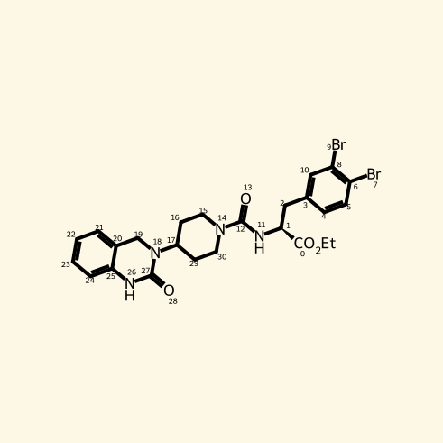 CCOC(=O)[C@H](Cc1ccc(Br)c(Br)c1)NC(=O)N1CCC(N2Cc3ccccc3NC2=O)CC1